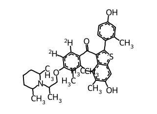 [2H]c1c([2H])c(C(=O)c2c(-c3ccc(O)cc3C)sc3cc(O)c(C)c(C)c23)c(C)c(C)c1OCC(C)N1C(C)CCCC1C